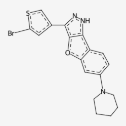 Brc1cc(-c2n[nH]c3c2oc2cc(N4CCCCC4)ccc23)cs1